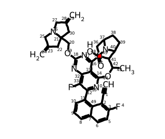 C#Cc1c(F)ccc2cccc(-c3nc4c5c(nc(OCC67CC(=C)CN6CC(=C)C7)nc5c3F)N3CC5CCC(C3C(C)O4)N5C(=O)O)c12